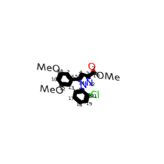 COC(=O)c1cc(-c2cc(OC)cc(OC)c2)n(-c2ccccc2Cl)n1